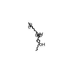 CCCCCC(O)c1ccc(CCS(=O)(=O)NCCCCCCC(=O)OCC)cc1